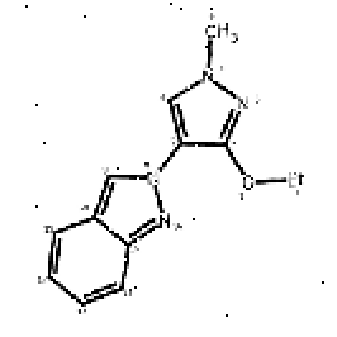 CCOc1nn(C)cc1-n1cc2ccccc2n1